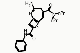 CCCN(CCC)C(=O)C1=Cc2sc(C(=O)Nc3ccccc3)cc2N=C(N)C1